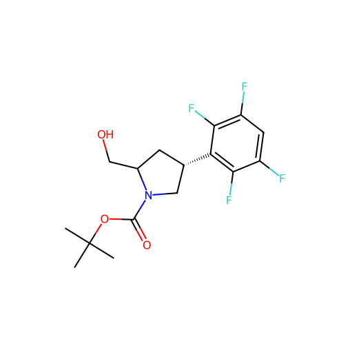 CC(C)(C)OC(=O)N1C[C@@H](c2c(F)c(F)cc(F)c2F)CC1CO